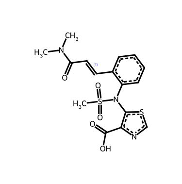 CN(C)C(=O)/C=C/c1ccccc1N(c1scnc1C(=O)O)S(C)(=O)=O